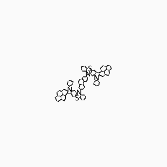 c1ccc(-n2c3cc4c(cc3c3c5ccc6cccc7ccc(cc32)c5c76)sc2ccccc2n4-c2ccc3c(ccc4cc(-n5c6ccccc6sc6cc7c8c9ccc%10cccc%11ccc(cc8n(-c8ccccc8)c7cc65)c9c%11%10)ccc43)c2)cc1